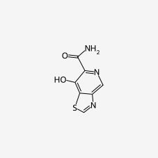 NC(=O)c1ncc2ncsc2c1O